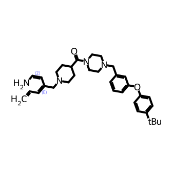 C=C/C=C(\C=C/N)CN1CCC(C(=O)N2CCN(Cc3cccc(Oc4ccc(C(C)(C)C)cc4)c3)CC2)CC1